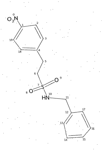 O=[N+]([O-])c1ccc(CCS(=O)(=O)NCc2ccccc2)cc1